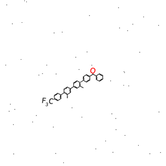 Cc1cc(-c2ccc(-c3ccc(C(F)(F)F)cc3)c(C)c2)ccc1-c1ccc(C(=O)c2ccccc2)cc1